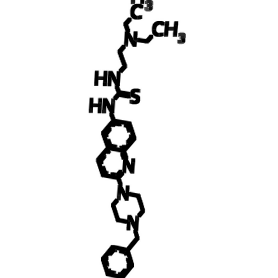 CCN(CC)CCNC(=S)Nc1ccc2nc(N3CCN(Cc4ccccc4)CC3)ccc2c1